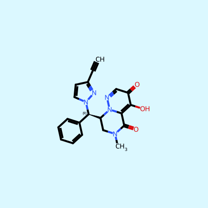 C#Cc1ccn([C@H](c2ccccc2)C2CN(C)C(=O)c3c(O)c(=O)cnn32)n1